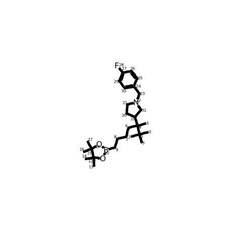 CC(C)(C)C(C)(CCCCB1OC(C)(C)C(C)(C)O1)C1CCN(Cc2ccc(F)cc2)C1